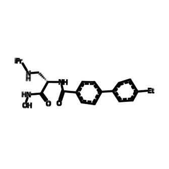 CCc1ccc(-c2ccc(C(=O)N[C@@H](CNC(C)C)C(=O)NO)cc2)cc1